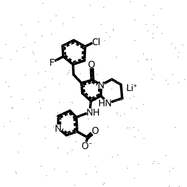 O=C([O-])c1cnccc1Nc1cc(Cc2cc(Cl)ccc2F)c(=O)n2c1NCCC2.[Li+]